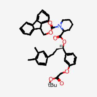 Cc1ccc(CC[C@@H](OC(=O)C2CCCCN2C(=O)OCC2c3ccccc3-c3ccccc32)c2cccc(OCC(=O)OC(C)(C)C)c2)cc1C